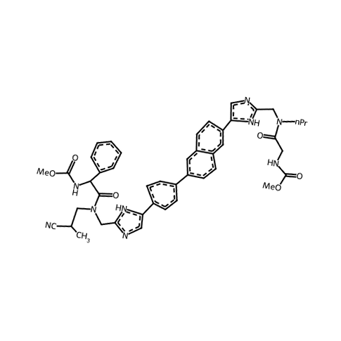 CCCN(Cc1ncc(-c2ccc3cc(-c4ccc(-c5cnc(CN(CC(C)C#N)C(=O)C(NC(=O)OC)c6ccccc6)[nH]5)cc4)ccc3c2)[nH]1)C(=O)CNC(=O)OC